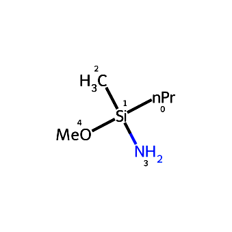 CCC[Si](C)(N)OC